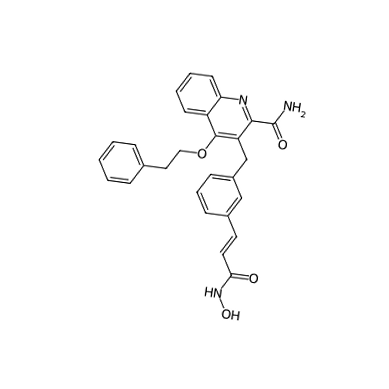 NC(=O)c1nc2ccccc2c(OCCc2ccccc2)c1Cc1cccc(C=CC(=O)NO)c1